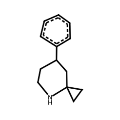 c1ccc(C2CCNC3(CC3)C2)cc1